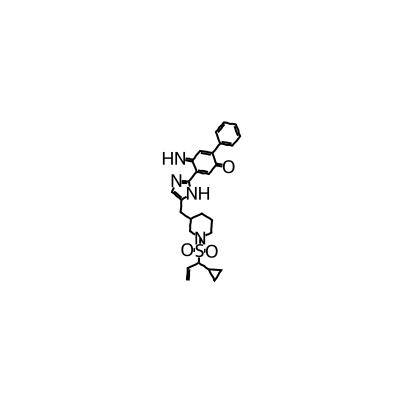 C=CC(C1CC1)S(=O)(=O)N1CCCC(Cc2cnc(C3=CC(=O)C(c4ccccc4)=CC3=N)[nH]2)C1